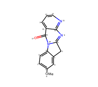 COc1ccc2c(c1)Cc1nc3ncccc3c(=O)n1-2